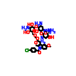 COc1ccc2c(c1)c(CC(=O)OCOC[C@H]1O[C@H](O[C@@H]3[C@@H](O)[C@H](O[C@H]4O[C@H](CN)[C@@H](O)C[C@H]4N)[C@@H](N)C[C@H]3N)[C@H](O)[C@@H](N)[C@@H]1O)c(C)n2C(=O)c1ccc(Cl)cc1